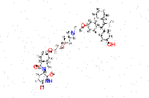 CCC(=C(c1ccc(O)cc1)c1ccc(OCCN2CC3(CC(OCCOc4ccc5c(c4)CN(C4CCC(=O)NC4=O)C5=O)C3)C2)cc1)c1ccccc1